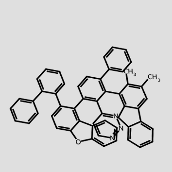 Cc1cc2c(c(-c3c(-c4ccccc4)ccc(-c4c(-c5ccccc5-c5ccccc5)ccc5oc6ccccc6c45)c3-c3ccnnn3)c1C)Cc1ccccc1-2